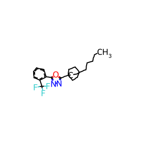 CCCCCC12CCC(c3nnc(-c4ccccc4C(F)(F)F)o3)(CC1)CC2